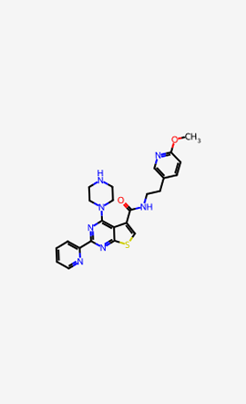 COc1ccc(CCNC(=O)c2csc3nc(-c4ccccn4)nc(N4CCNCC4)c23)cn1